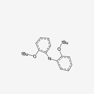 CC(C)(C)Oc1ccccc1[N]c1ccccc1OC(C)(C)C